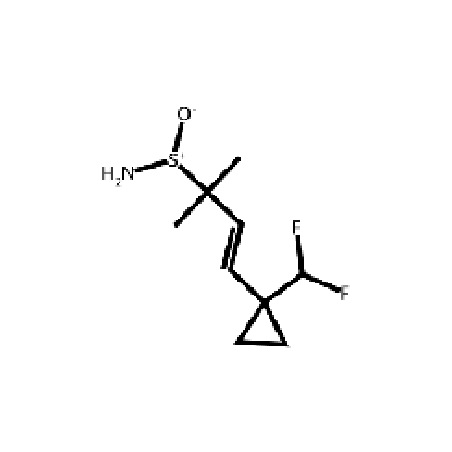 CC(C)(C=CC1(C(F)F)CC1)[S+](N)[O-]